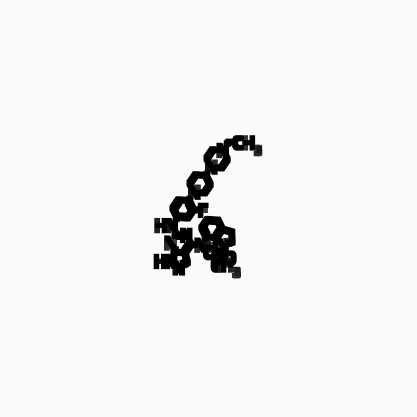 CCN1CCN(C2CCN(c3ccc(Nc4nc(Nc5cccc6c5N(S(C)(=O)=O)CC6)c5cn[nH]c5n4)cc3F)CC2)CC1